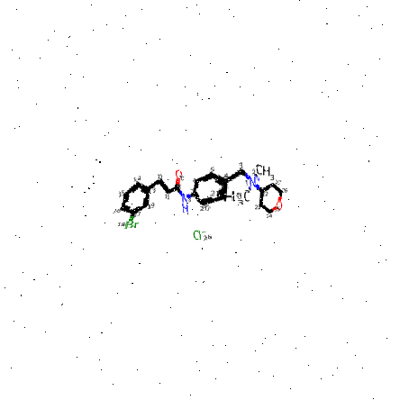 C[N+](C)(Cc1ccc(NC(=O)/C=C/c2cccc(Br)c2)cc1)C1CCOCC1.[Cl-]